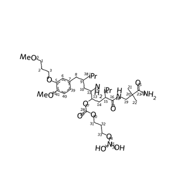 COCCCOc1cc(CC(CC(N)C(CC(C(=O)NCC(C)(C)C(N)=O)C(C)C)OC(=O)OCCCON(O)O)C(C)C)ccc1OC